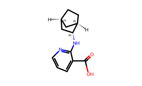 O=C(O)c1cccnc1N[C@@H]1C[C@H]2CC[C@@H]1C2